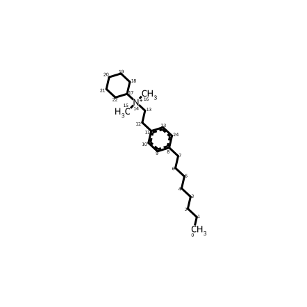 CCCCCCCCc1ccc(CC[N+](C)(C)C2CCCCC2)cc1